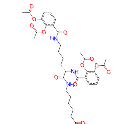 CC(=O)Oc1cccc(C(=O)NCCCC[C@H](NC(=O)c2cccc(OC(C)=O)c2OC(C)=O)C(=O)NCCCCCC(N)=O)c1OC(C)=O